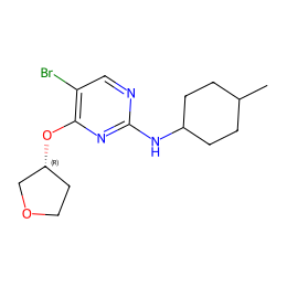 CC1CCC(Nc2ncc(Br)c(O[C@@H]3CCOC3)n2)CC1